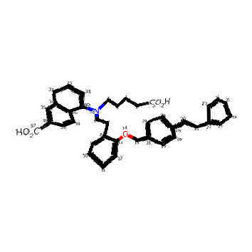 O=C(O)CCCCN(CCc1ccccc1OCc1ccc(CCc2ccccc2)cc1)C1CCCc2cc(C(=O)O)ccc21